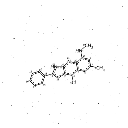 CNc1cc(C)cc2c(Cl)c3cc(-c4ccccc4)[nH]c3nc12